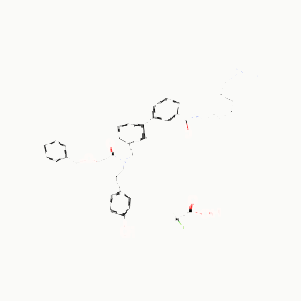 NCC1CCCC(CNC(=O)c2cccc(-c3cccc(CN(CCc4ccc(O)cc4)C(=O)COCc4ccccc4)c3)c2)C1.O=C(O)C(F)(F)F